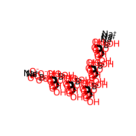 O=C(O)CC(CC(=O)O)(OB(O)O)C(=O)O.O=C(O)CC(CC(=O)O)(OB(O)O)C(=O)O.O=C(O)CC(CC(=O)O)(OB(O)O)C(=O)O.O=C(O)CC(CC(=O)O)(OB(O)O)C(=O)O.O=C(O)CC(CC(=O)O)(OB(O)O)C(=O)O.O=C([O-])[O-].[Na+].[Na+].[Na+].[Na+].[Na+].[O-]B([O-])[O-]